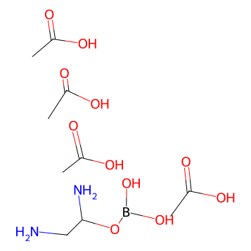 CC(=O)O.CC(=O)O.CC(=O)O.CC(=O)O.NCC(N)OB(O)O